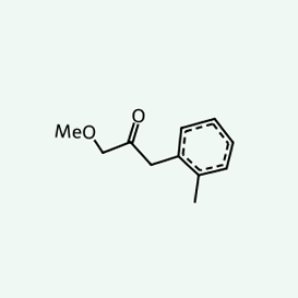 COCC(=O)Cc1ccccc1C